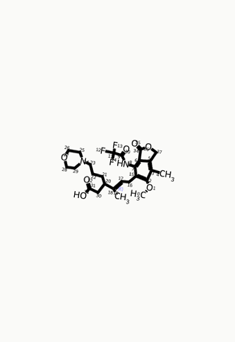 COc1c(C)c2c(c(NC(=O)C(F)(F)F)c1C/C=C(\C)C(CCCN1CCOCC1)CC(=O)O)C(=O)OC2